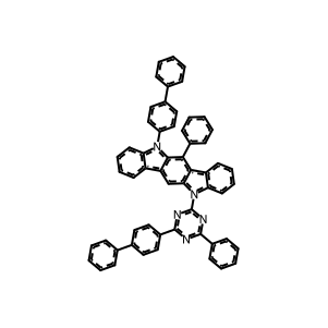 c1ccc(-c2ccc(-c3nc(-c4ccccc4)nc(-n4c5ccccc5c5c(-c6ccccc6)c6c(cc54)c4ccccc4n6-c4ccc(-c5ccccc5)cc4)n3)cc2)cc1